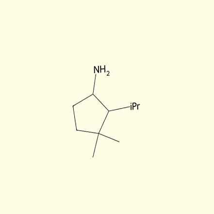 CC(C)C1C(N)CCC1(C)C